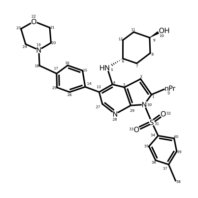 CCCc1cc2c(N[C@H]3CC[C@H](O)CC3)c(-c3ccc(CN4CCOCC4)cc3)cnc2n1S(=O)(=O)c1ccc(C)cc1